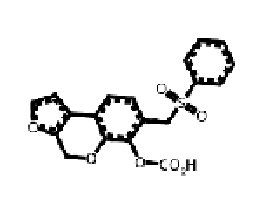 O=C(O)Oc1c(CS(=O)(=O)c2ccccc2)ccc2c1OCc1occc1-2